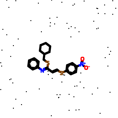 O=[N+]([O-])c1ccc(SC=CC(=Nc2ccccc2)SCC2CCCCC2)cc1